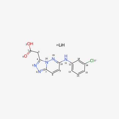 O=C(O)Cc1nnc2ccc(Nc3cccc(Cl)c3)nn12.[LiH]